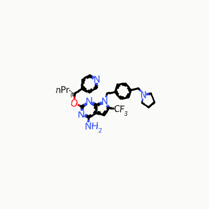 CCC[C@@H](Oc1nc(N)c2cc(C(F)(F)F)n(Cc3ccc(CN4CCCC4)cc3)c2n1)c1ccncc1